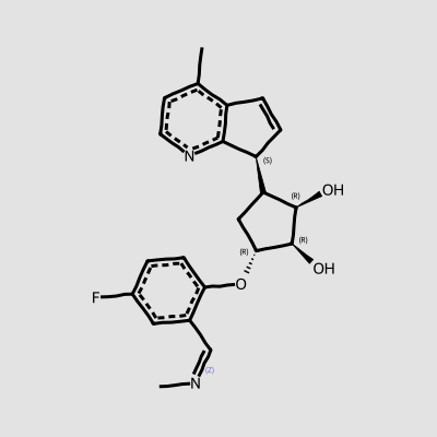 C/N=C\c1cc(F)ccc1O[C@@H]1CC([C@@H]2C=Cc3c(C)ccnc32)[C@@H](O)[C@H]1O